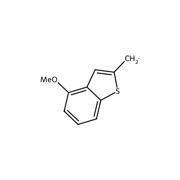 [CH2]c1cc2c(OC)cccc2s1